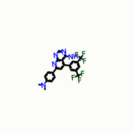 CN(C)c1ccc(-c2cc(-c3cc(C(F)(F)F)cc(C(F)(F)F)c3)c3c(N)ncnc3n2)cc1